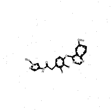 COc1ccc2ncnc(Oc3ccc(CC(=O)Nc4cnn(C(C)(C)C)c4)c(F)c3F)c2c1